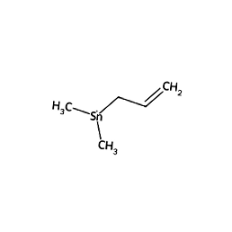 C=C[CH2][Sn]([CH3])[CH3]